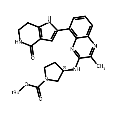 Cc1nc2cccc(-c3cc4c([nH]3)CCNC4=O)c2nc1N[C@@H]1CCN(C(=O)OC(C)(C)C)C1